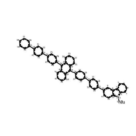 CCCCn1c2ccccc2c2cc(-c3ccc(-c4ccc(-c5c6ccccc6c(-c6ccc(-c7ccc(-c8ccccc8)cc7)cc6)c6ccccc56)cc4)cc3)ccc21